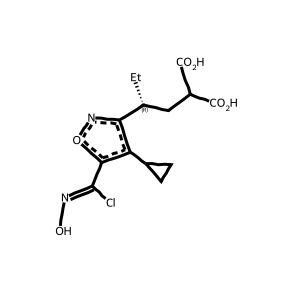 CC[C@H](CC(C(=O)O)C(=O)O)c1noc(C(Cl)=NO)c1C1CC1